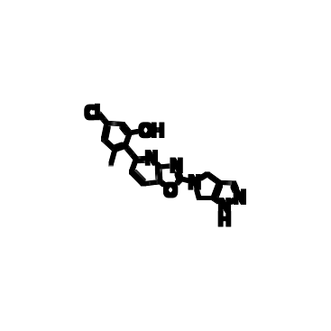 Cc1cc(Cl)cc(O)c1-c1ccc2oc(N3Cc4cn[nH]c4C3)nc2n1